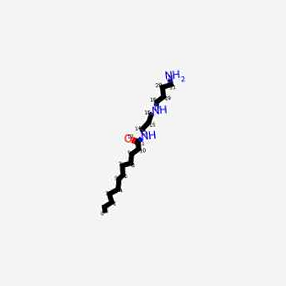 CCCCCCCCCCCC(=O)NCCCNCCCCN